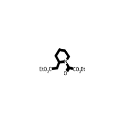 CCOC(=O)CC1CCCCN1C(=O)C(=O)OCC